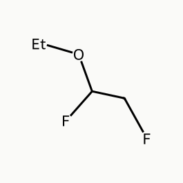 CCOC(F)CF